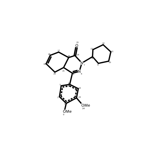 COc1ccc(C2=NN(C3CCCCC3)C(=O)C3CC=CCC23)cc1OC